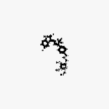 CC1(C)OC(=C2C(=O)Nc3ccc(F)cc32)C=C1c1ccc(CNC[C@H]2O[C@H](CO)[C@@H](O)[C@@H]2O)cc1